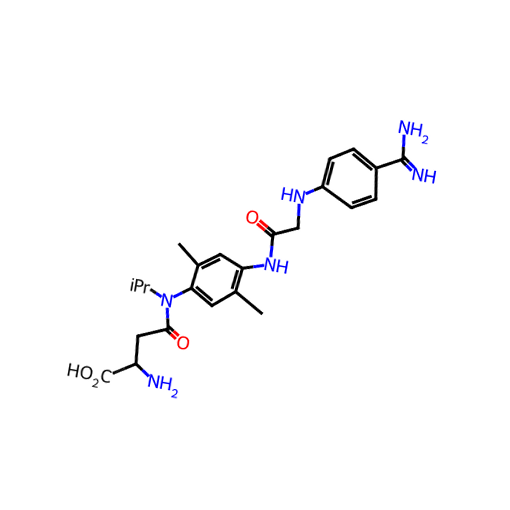 Cc1cc(N(C(=O)CC(N)C(=O)O)C(C)C)c(C)cc1NC(=O)CNc1ccc(C(=N)N)cc1